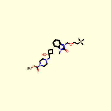 Cn1c(=O)n(COCC[Si](C)(C)C)c2cccc([C@H]3C[C@](O)(CN4CCN(C(=O)OC(C)(C)C)CC4)C3)c21